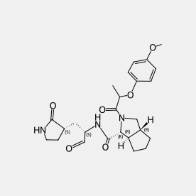 COc1ccc(OC(C)C(=O)N2C[C@@H]3CCC[C@H]3[C@@H]2C(=O)N[C@H](C=O)C[C@@H]2CCNC2=O)cc1